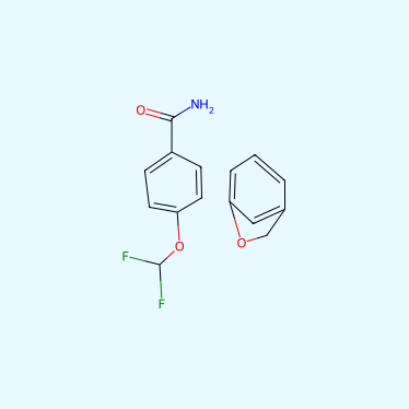 NC(=O)c1ccc(OC(F)F)cc1.c1cc2cc(c1)OC2